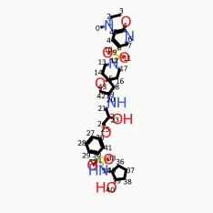 CN1CCOc2ncc(S(=O)(=O)N3CCC4(CC3)CC(NCC(O)COc3cccc(S(=O)(=O)N[C@@H]5CCC[C@@H]5O)c3)CO4)cc21